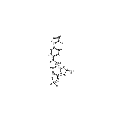 Cc1ncsc1-c1cnc(C(C)NC(=O)[C@@H]2C[C@@H](O)CN2C(=O)OC(C)(C)C)cn1